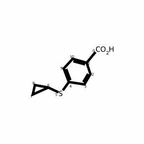 O=C(O)c1ccc(SC2CC2)cc1